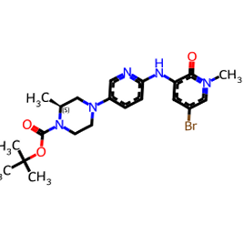 C[C@H]1CN(c2ccc(Nc3cc(Br)cn(C)c3=O)nc2)CCN1C(=O)OC(C)(C)C